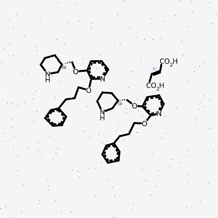 O=C(O)/C=C/C(=O)O.c1ccc(CCCOc2ncccc2OC[C@H]2CCCNC2)cc1.c1ccc(CCCOc2ncccc2OC[C@H]2CCCNC2)cc1